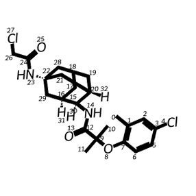 Cc1cc(Cl)ccc1OC(C)(C)C(=O)N[C@H]1[C@@H]2CC3C[C@H]1C[C@](NC(=O)CCl)(C3)C2